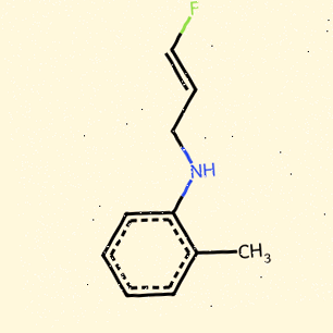 Cc1ccccc1NCC=CF